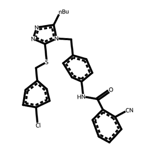 CCCCc1nnc(SCc2ccc(Cl)cc2)n1Cc1ccc(NC(=O)c2ccccc2C#N)cc1